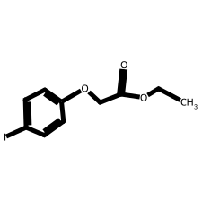 CCOC(=O)COc1ccc(I)cc1